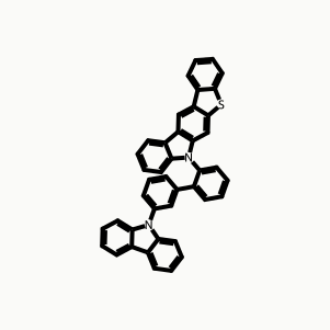 c1cc(-c2ccccc2-n2c3ccccc3c3cc4c(cc32)sc2ccccc24)cc(-n2c3ccccc3c3ccccc32)c1